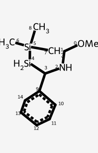 COCNC([SiH2][Si](C)(C)C)c1ccccc1